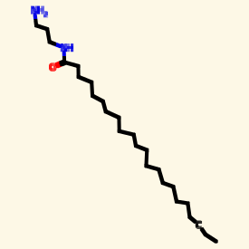 CCCCCCCCCCCCCCCCCCCCCC(=O)NCCCN